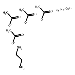 CC(=O)[O-].CC(=O)[O-].CC(=O)[O-].CC(=O)[O-].NCCN.[Cu+2].[Na+].[Na+]